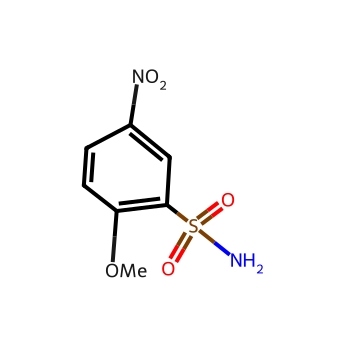 COc1ccc([N+](=O)[O-])cc1S(N)(=O)=O